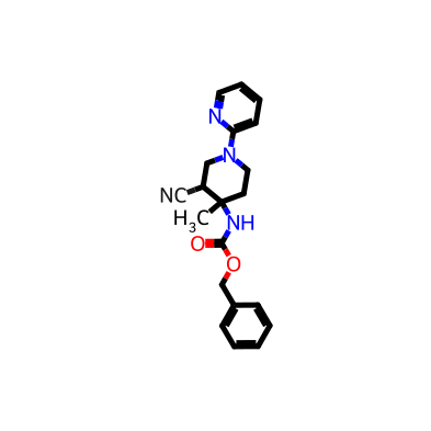 CC1(NC(=O)OCc2ccccc2)CCN(c2ccccn2)CC1C#N